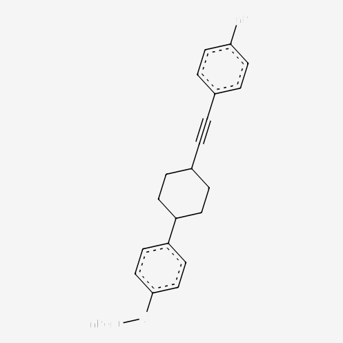 CCCCCOc1ccc(C2CCC(C#Cc3ccc(CCC)cc3)CC2)cc1